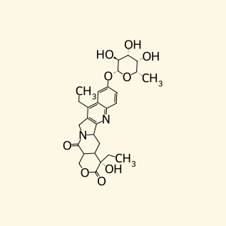 CCc1c2c(nc3ccc(O[C@H]4O[C@@H](C)[C@@H](O)[C@@H](O)[C@@H]4O)cc13)C1CC3C(COC(=O)[C@]3(O)CC)C(=O)N1C2